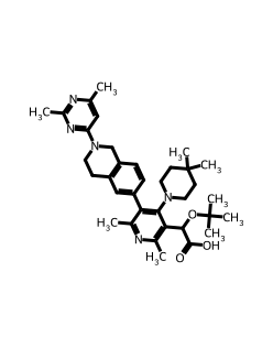 Cc1cc(N2CCc3cc(-c4c(C)nc(C)c(C(OC(C)(C)C)C(=O)O)c4N4CCC(C)(C)CC4)ccc3C2)nc(C)n1